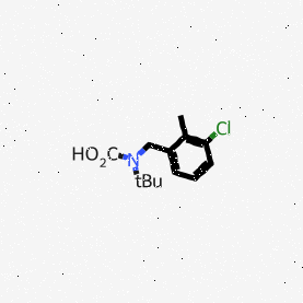 Cc1c(Cl)cccc1CN(C(=O)O)C(C)(C)C